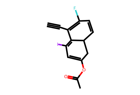 C#CC1=C(F)C=CC2CC(OC(C)=O)=CC(I)=C12